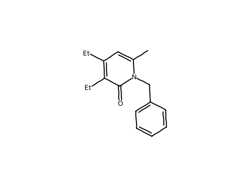 CCc1cc(C)n(Cc2ccccc2)c(=O)c1CC